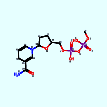 COP(=O)(O)OP(=O)(O)OCC1CCC(N2C=CCC(C(N)=O)=C2)O1